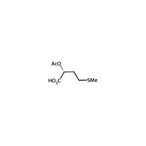 CSCC[C@@H](OC(C)=O)C(=O)O